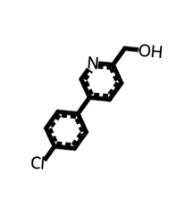 OCc1ccc(-c2ccc(Cl)cc2)cn1